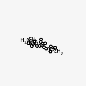 Cc1cccc2c1oc1c(N(c3ccccc3)c3ccc4cc5c(cc4c3)C3(c4cc6cc(N(c7ccccc7)c7cccc8c7oc7c([Si](C)(C)C)cccc78)ccc6cc4-5)c4ccccc4-c4c3ccc3ccccc43)cccc12